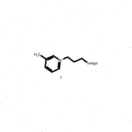 CCCCCCCCCC[n+]1cccc(C)c1.[I-]